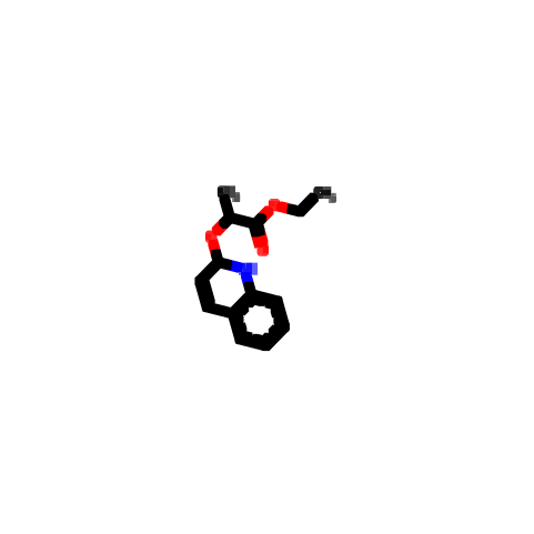 CCOC(=O)C(C)OC1C=Cc2ccccc2N1